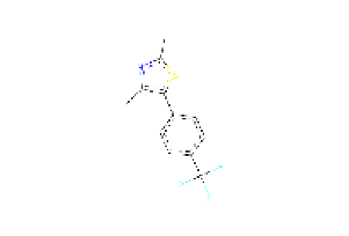 Cc1nc(C)c(-c2ccc(C(F)(F)F)cc2)s1